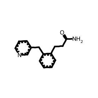 NC(=O)CCc1ccccc1Cc1cccnc1